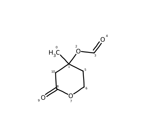 CC1(OC=O)CCOC(=O)C1